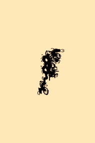 C=CC(=O)OCCCc1ccc2c(oc3c(OC)c(OC(=O)C=C)ccc32)c1C(F)(F)F